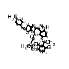 CC(Oc1ccc2[nH]nc(-c3nc4c(n3COCC[Si](C)(C)C)CN(CC3CCN(C)CC3)C4)c2c1)c1c(Cl)cncc1Cl